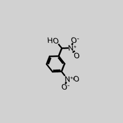 O=[N+]([O-])c1cccc(C(O)[N+](=O)[O-])c1